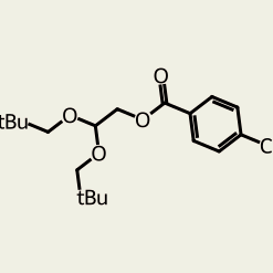 CC(C)(C)COC(COC(=O)c1ccc(Cl)cc1)OCC(C)(C)C